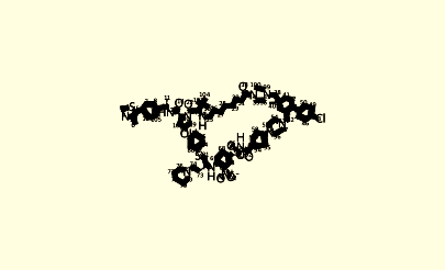 Cc1ncsc1-c1ccc([C@H](C)NC(=O)[C@@H]2C[C@@H](O)CN2C(=O)[C@@H](NCCCCCCCC(=O)N2CCN(C[C@]3(C)CCC(c4ccc(Cl)cc4)=C(CN4CCN(c5ccc(C(=O)NS(=O)(=O)c6ccc(N[C@H](CCN7CCCCC7)CSc7ccccc7)c([N+](=O)[O-])c6)cc5)CC4)C3)CC2)C(C)(C)C)cc1